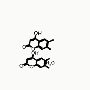 Cc1cc2oc(=O)cc(O)c2cc1C.Cc1cc2oc(=O)cc(O)c2cc1C.O